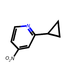 O=[N+]([O-])c1ccnc(C2CC2)c1